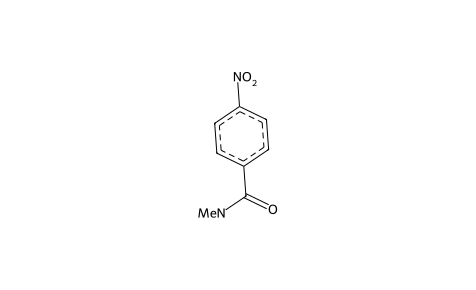 CNC(=O)c1ccc([N+](=O)[O-])cc1